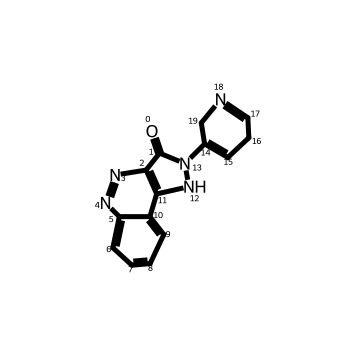 O=c1c2nnc3ccccc3c2[nH]n1C1=CCC=NC1